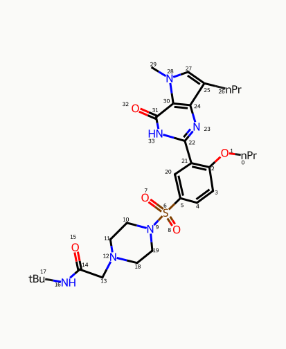 CCCOc1ccc(S(=O)(=O)N2CCN(CC(=O)NC(C)(C)C)CC2)cc1-c1nc2c(CCC)cn(C)c2c(=O)[nH]1